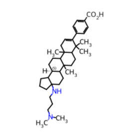 CN(C)CCCNC12CCCC1[C@H]1CCC3C(C)(CCC4C(C)(C)C(c5ccc(C(=O)O)cc5)=CCC43C)C1CC2